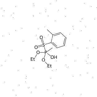 CCOP(C)(O)(OCC)S(=O)(=O)c1ccccc1C